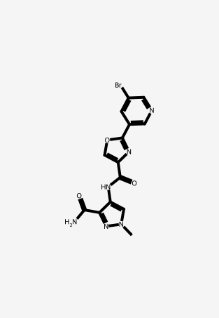 Cn1cc(NC(=O)c2coc(-c3cncc(Br)c3)n2)c(C(N)=O)n1